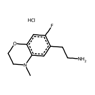 CN1CCOc2cc(F)c(CCN)cc21.Cl